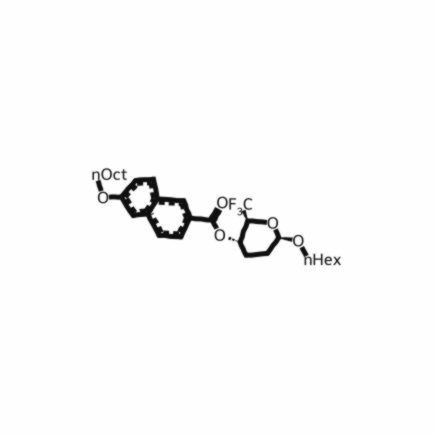 CCCCCCCCOc1ccc2cc(C(=O)O[C@H]3CC[C@H](OCCCCCC)O[C@@H]3C(F)(F)F)ccc2c1